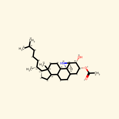 CC(=O)O[C@@H]1CC2CCC3C4CC[C@H]([C@H](C)CCCC(C)C)C4(C)CCC3[C@]23N[C@H]3[C@@H]1O